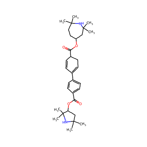 CC1(C)CCC(OC(=O)C2C=CC(c3ccc(C(=O)OC4CC(C)(C)NC4(C)C)cc3)=CC2)CC(C)(C)N1